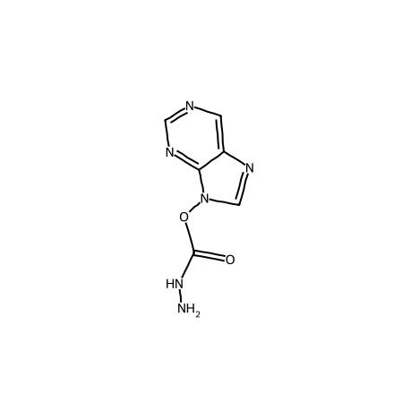 NNC(=O)On1cnc2cncnc21